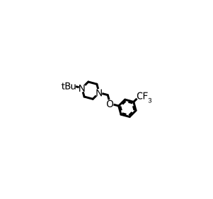 CC(C)(C)N1CCN(COc2cccc(C(F)(F)F)c2)CC1